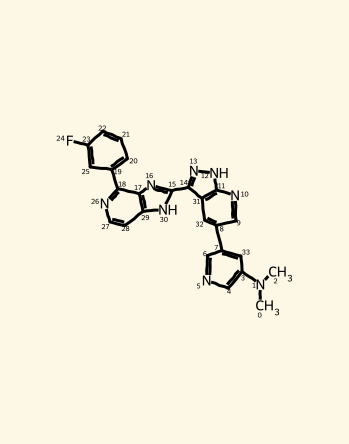 CN(C)c1cncc(-c2cnc3[nH]nc(-c4nc5c(-c6cccc(F)c6)nccc5[nH]4)c3c2)c1